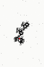 CC1=NC(CCc2ccc(OCCCc3ccccc3C(F)(F)F)c(C(F)(F)F)c2)(COP(=O)(C(C)(C)C)C(C)(C)C)CO1